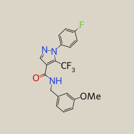 COc1cccc(CNC(=O)c2cnn(-c3ccc(F)cc3)c2C(F)(F)F)c1